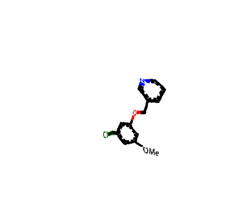 COc1cc(Cl)cc(OCc2cccnc2)c1